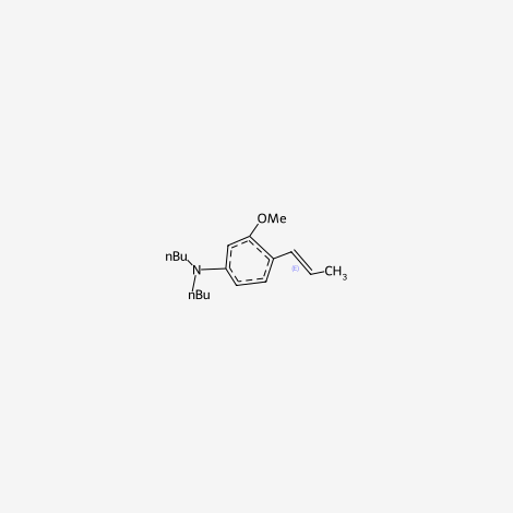 C/C=C/c1ccc(N(CCCC)CCCC)cc1OC